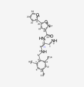 N=C/C(=C\NCc1c(F)cc(F)cc1F)NC(=O)c1cc(-c2ccco2)on1